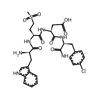 CS(=O)(=O)CC[C@H](NC(=O)[C@H](N)Cc1c[nH]c2ccccc12)C(=O)N[C@@H](CC(=O)O)C(=O)N[C@@H](Cc1ccc(Cl)cc1)C(N)=O